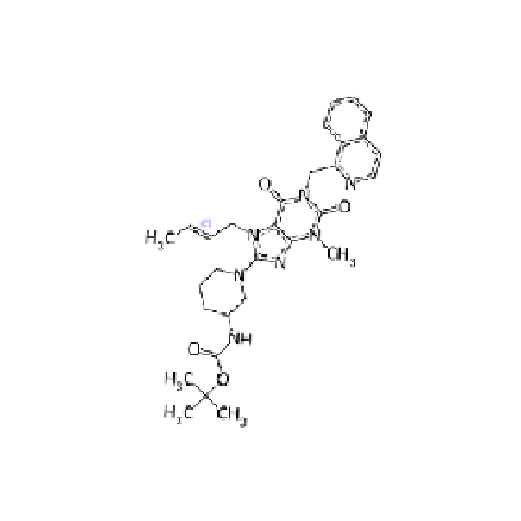 C/C=C/Cn1c(N2CCCC(NC(=O)OC(C)(C)C)C2)nc2c1c(=O)n(Cc1nccc3ccccc13)c(=O)n2C